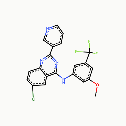 COc1cc(Nc2nc(-c3cccnc3)nc3ccc(Cl)cc23)cc(C(F)(F)F)c1